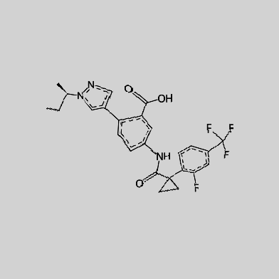 CC[C@@H](C)n1cc(-c2ccc(NC(=O)C3(c4ccc(C(F)(F)F)cc4F)CC3)cc2C(=O)O)cn1